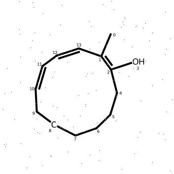 CC1=C(O)CCCCCCC=CC=C1